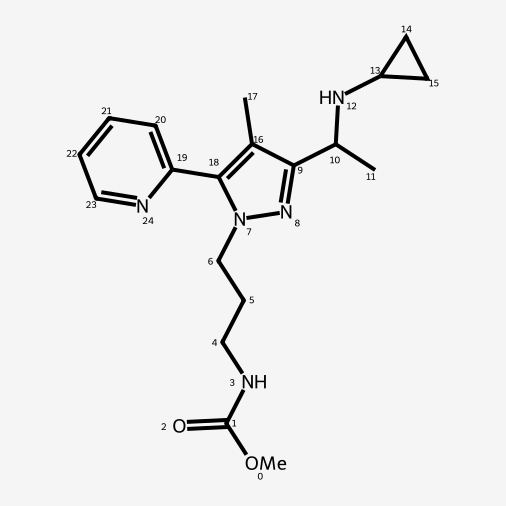 COC(=O)NCCCn1nc(C(C)NC2CC2)c(C)c1-c1ccccn1